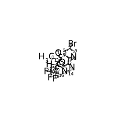 CCS(=O)(=O)c1cc(Br)cnc1-c1ncn(CC(F)(F)C(F)(F)F)c1C